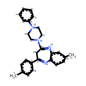 Cc1ccc(C2=Nc3ccc(C)cc3N=C(N3CCN(c4ccccc4)CC3)C2)cc1